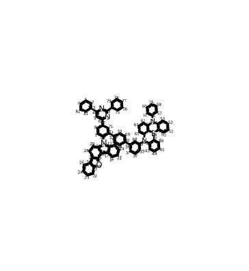 c1ccc(-c2cc(-c3ccc(-n4c5ccccc5c5c6oc7ccccc7c6ccc54)c(-c4ccc(-c5cccc(N6c7ccccc7B7c8ccccc8N(c8ccccc8)c8cccc6c87)c5)cc4)c3)nc(-c3ccccc3)n2)cc1